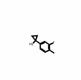 Cc1ccc(C2(S)CC2)cc1F